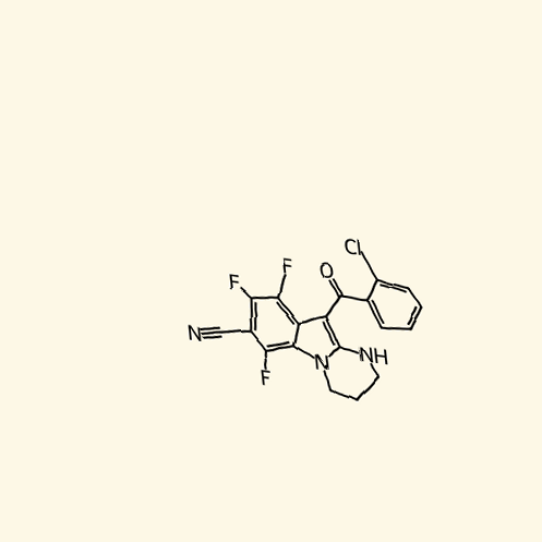 N#Cc1c(F)c(F)c2c(C(=O)c3ccccc3Cl)c3n(c2c1F)CCCN3